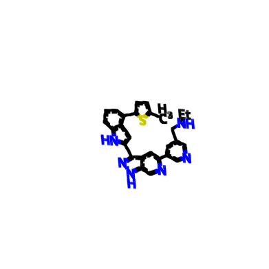 CCNCc1cncc(-c2cc3c(-c4cc5c(-c6ccc(C)s6)cccc5[nH]4)n[nH]c3cn2)c1